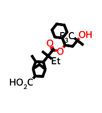 CCC(C)(C(=O)OC(CC(C)(O)C(F)(F)F)C1CCCCC1)C1C2CC(C(=O)O)C(C2)C1C